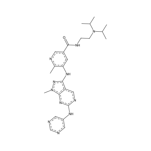 Cc1ncc(C(=O)NCCN(C(C)C)C(C)C)cc1Nc1nn(C)c2nc(Nc3cncnc3)ncc12